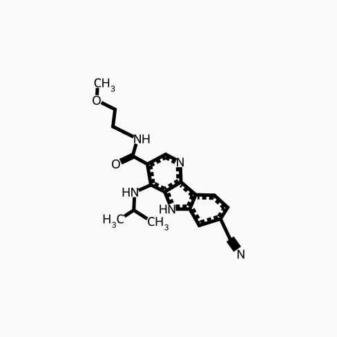 COCCNC(=O)c1cnc2c([nH]c3cc(C#N)ccc32)c1NC(C)C